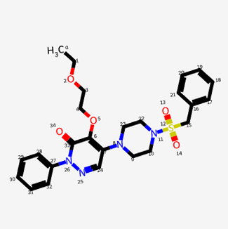 CCOCCOc1c(N2CCN(S(=O)(=O)Cc3ccccc3)CC2)cnn(-c2ccccc2)c1=O